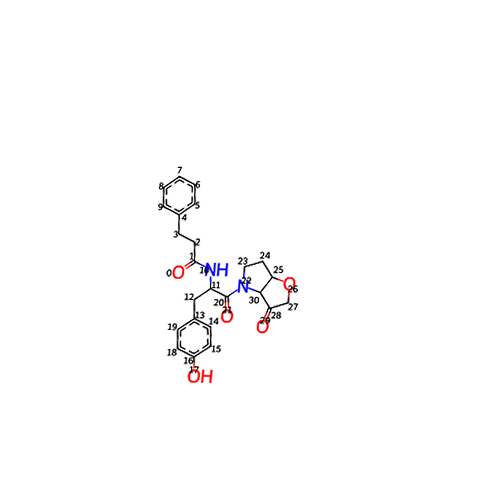 O=C(CCc1ccccc1)NC(Cc1ccc(O)cc1)C(=O)N1CCC2OCC(=O)C21